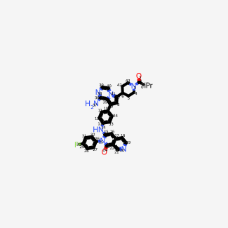 CC(C)C(=O)N1CCC(c2cc(-c3ccc(Nc4cc5ccncc5c(=O)n4-c4ccc(F)cc4)cc3)c3c(N)nccn23)CC1